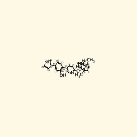 C[C@@]12CC[C@@](C)(NC1)[C@H](F)[C@H]2Oc1ccc(-c2ccc(-n3ccnn3)cc2O)nn1